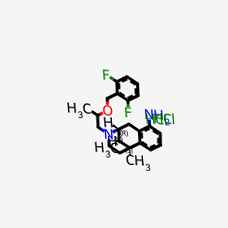 CC(CN1CC[C@]2(C)c3cccc(N)c3C[C@@H]1[C@@H]2C)OCc1c(F)cccc1F.Cl.Cl